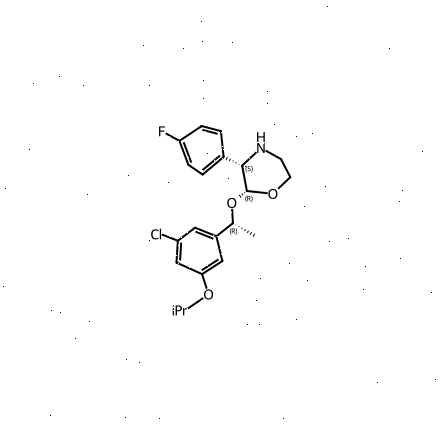 CC(C)Oc1cc(Cl)cc([C@@H](C)O[C@H]2OCCN[C@H]2c2ccc(F)cc2)c1